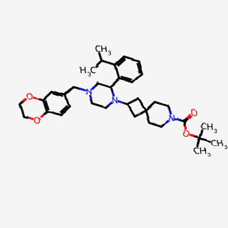 CC(C)c1ccccc1C1CN(Cc2ccc3c(c2)OCCO3)CCN1C1CC2(CCN(C(=O)OC(C)(C)C)CC2)C1